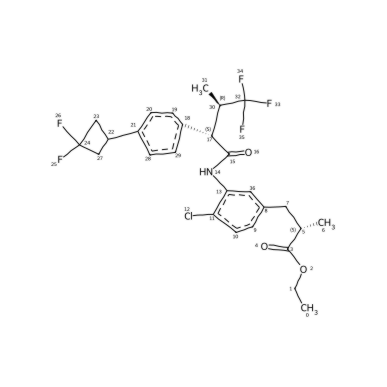 CCOC(=O)[C@@H](C)Cc1ccc(Cl)c(NC(=O)[C@H](c2ccc(C3CC(F)(F)C3)cc2)[C@@H](C)C(F)(F)F)c1